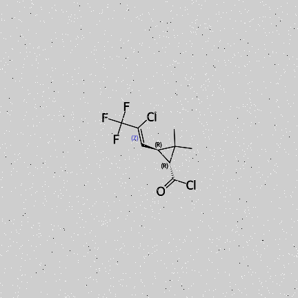 CC1(C)[C@H](/C=C(\Cl)C(F)(F)F)[C@H]1C(=O)Cl